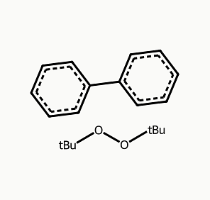 CC(C)(C)OOC(C)(C)C.c1ccc(-c2ccccc2)cc1